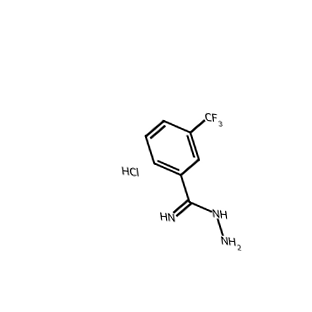 Cl.N=C(NN)c1cccc(C(F)(F)F)c1